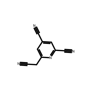 N#CCc1cc(C#N)cc(C#N)n1